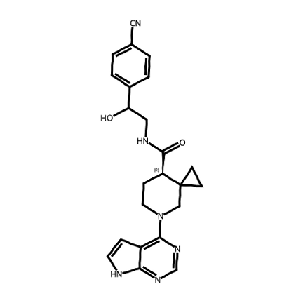 N#Cc1ccc(C(O)CNC(=O)[C@@H]2CCN(c3ncnc4[nH]ccc34)CC23CC3)cc1